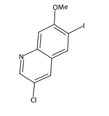 COc1cc2ncc(Cl)cc2cc1I